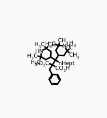 CCCCCCCC(C1CC(C)(C)NC(C)(C)C1)(C1CC(C)(C)NC(C)(C)C1)C(Cc1ccccc1)(C(=O)O)C(=O)O